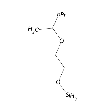 CCCC(C)OCCO[SiH3]